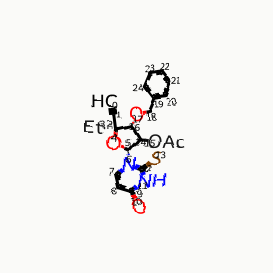 C#C[C@]1(CC)O[C@@H](n2ccc(=O)[nH]c2=S)C(OC(C)=O)[C@H]1OCc1ccccc1